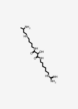 CC(N)CCNCCCCNC(=O)C(O)C(=O)NCCCCCCNC(=N)N